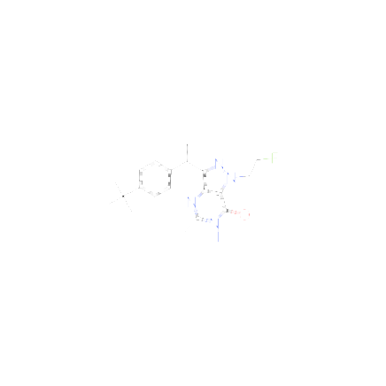 Cc1nc2c(C(C)c3ccc(C(C)(C)C)cc3)nn(CCF)c2c(=O)[nH]1